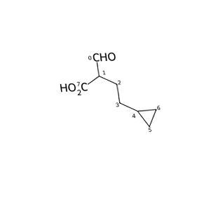 O=CC(CCC1CC1)C(=O)O